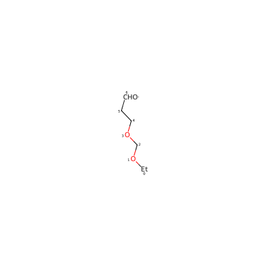 CCOCOCC[C]=O